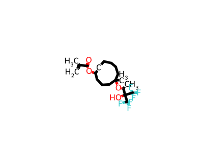 C=C(C)C(=O)OC1CCCCCC(C)(OC(C)C(O)(C(F)(F)F)C(F)(F)F)CCC1